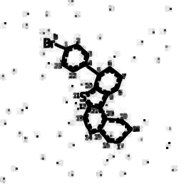 Brc1ccc(-c2cccc3c2sc2ccc4ccccc4c23)cc1